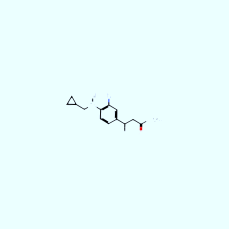 CCC[As](CC1CC1)c1ccc(C(CC)CC(=O)OC)cc1N